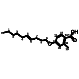 CCCCCC=CCCCOc1ccc(C(=O)O)c(C)c1